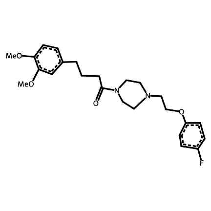 COc1ccc(CCCC(=O)N2CCN(CCOc3ccc(F)cc3)CC2)cc1OC